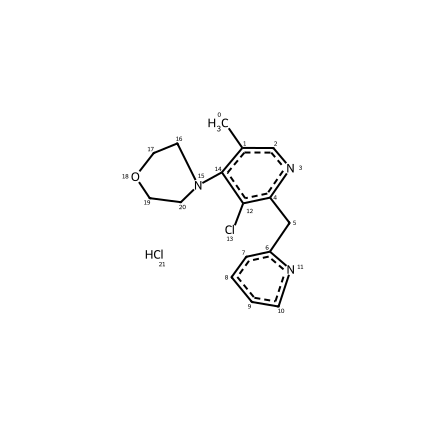 Cc1cnc(Cc2ccccn2)c(Cl)c1N1CCOCC1.Cl